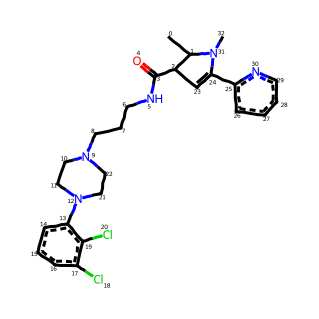 CC1C(C(=O)NCCCN2CCN(c3cccc(Cl)c3Cl)CC2)C=C(c2ccccn2)N1C